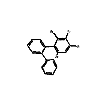 Brc1cc(Br)c(-c2ccccc2-c2ccccc2)c(Br)c1Br